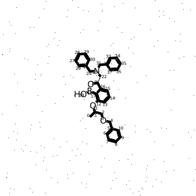 CC(COCc1ccccc1)Oc1cccc2c1B(O)O[C@@H]2CN(Cc1ccccc1)Cc1ccccc1